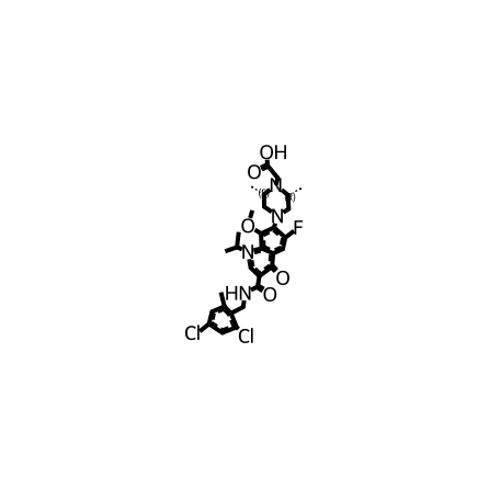 COc1c(N2C[C@@H](C)N(CC(=O)O)[C@@H](C)C2)c(F)cc2c(=O)c(C(=O)NCc3c(C)cc(Cl)cc3Cl)cn(C(C)C)c12